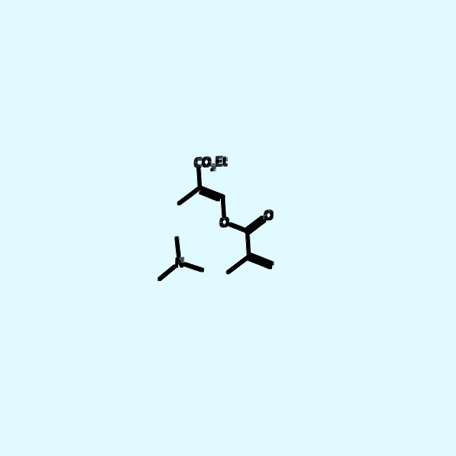 C=C(C)C(=O)OC=C(C)C(=O)OCC.CN(C)C